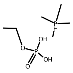 CCOP(=O)(O)O.C[PH](C)(C)C